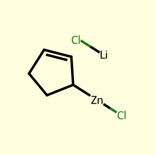 [Cl][Zn][CH]1C=CCC1.[Li][Cl]